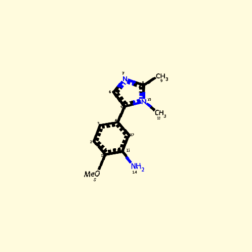 COc1ccc(-c2cnc(C)n2C)cc1N